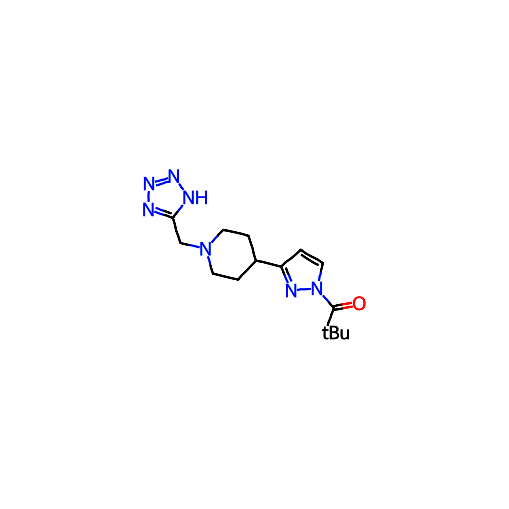 CC(C)(C)C(=O)n1ccc(C2CCN(Cc3nnn[nH]3)CC2)n1